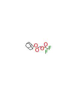 O=C(COC(=O)C(F)F)OC1C2CC3CC(C2)CC1C3